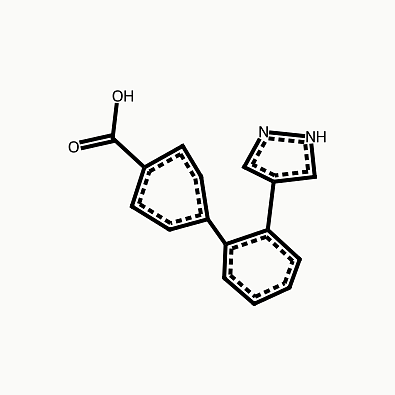 O=C(O)c1ccc(-c2ccccc2-c2cn[nH]c2)cc1